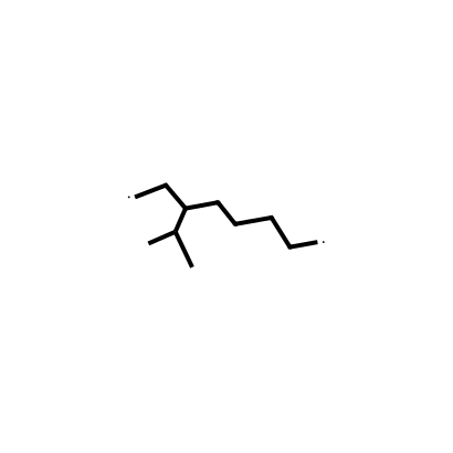 [CH2]CCCCC(C[CH2])C(C)C